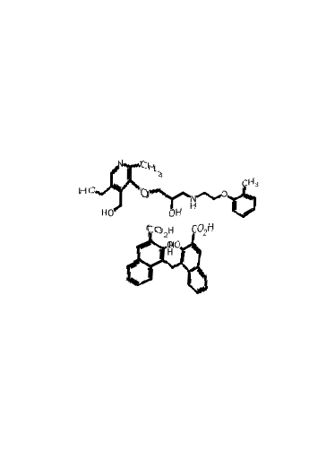 Cc1ccccc1OCCNCC(O)COc1c(C)ncc(CO)c1CO.O=C(O)c1cc2ccccc2c(Cc2c(O)c(C(=O)O)cc3ccccc23)c1O